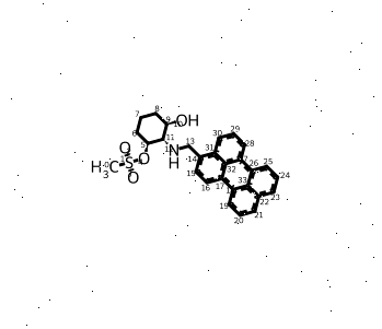 CS(=O)(=O)O[C@H]1CCC[C@@H](O)[C@@H]1NCc1ccc2c3cccc4cccc(c5cccc1c52)c43